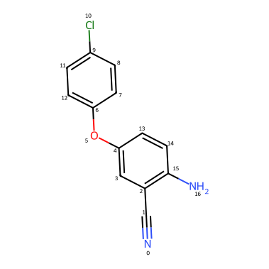 N#Cc1cc(Oc2ccc(Cl)cc2)ccc1N